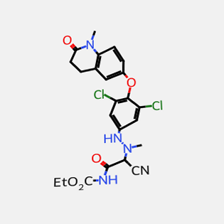 CCOC(=O)NC(=O)C(C#N)N(C)Nc1cc(Cl)c(Oc2ccc3c(c2)CCC(=O)N3C)c(Cl)c1